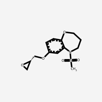 CS(=O)(=O)N1CCCOc2ccc(OC[C@@H]3CO3)cc21